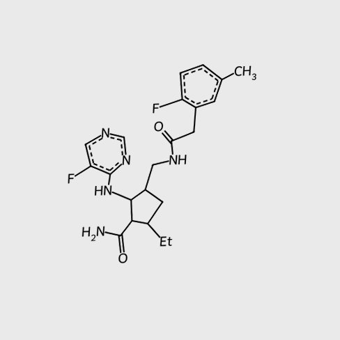 CCC1CC(CNC(=O)Cc2cc(C)ccc2F)C(Nc2ncncc2F)C1C(N)=O